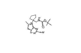 Cc1cc2cnc(C#N)nc2n1C1(CNC(=O)OC(C)(C)C)CCCC1